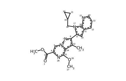 COC(=O)c1cn2nc(-c3cc4cccnc4n3CC3CC3)c(C)c2c(OC)n1